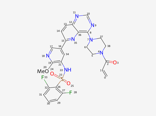 C=CC(=O)N1CCN(c2ncnc3ccc(-c4cnc(OC)c(NS(=O)(=O)c5c(F)cccc5F)c4)nc23)CC1